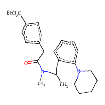 CCOC(=O)c1ccc(CC(=O)N(C)C(C)c2ccccc2N2CCCCC2)cc1